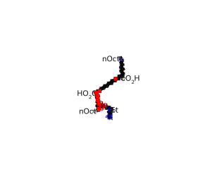 CCCCCCCC/C=C\CCCCCCC(CCCCCCCCCCCCCC(CCCCC(C/C=C\CCCCCCCC)OC(=O)OCCN(CC)CCN(C)C)C(=O)O)C(=O)O